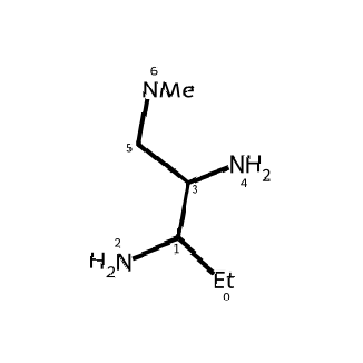 CCC(N)C(N)CNC